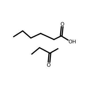 CCC(C)=O.CCCCCC(=O)O